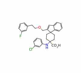 O=C(O)C1(Nc2cccc(Cl)c2)CCC2(CC1)C(COCCc1cccc(F)c1)=Cc1ccccc12